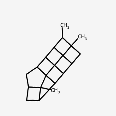 CC1C2C3C4CC5CC6C7C8C9CC1(C)C92C38C47C56C